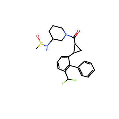 C[S+]([O-])NC1CCCN(C(=O)C2CC2c2cccc(C(F)F)c2-c2ccccc2)C1